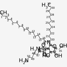 CCCCCCCCCCCCCCCCCC(=O)N(CCCCCCCCCCCC)[C@@H]1O[C@H](CO)[C@@H](O)[C@H](O)[C@H]1NC(=O)[C@@H](N)CCCCN